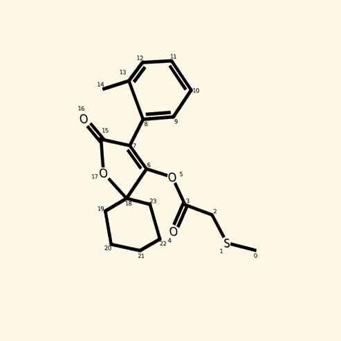 CSCC(=O)OC1=C(c2ccccc2C)C(=O)OC12CCCCC2